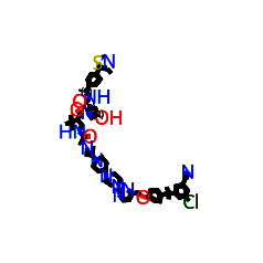 Cc1ncsc1-c1ccc([C@H](C)NC(=O)[C@@H]2C[C@@H](O)CN2C(=O)C(CNC(=O)CN2CC(N3CCC(N4CCN(c5nccc(COc6ccc(C(C)(C)c7cc(Cl)cc(C#N)c7)cc6)n5)CC4)CC3)C2)C(C)(C)C)cc1